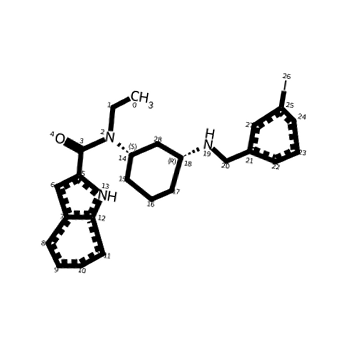 CCN(C(=O)c1cc2ccccc2[nH]1)[C@H]1CCC[C@@H](NCc2cccc(I)c2)C1